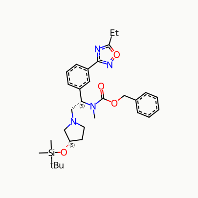 CCc1nc(-c2cccc([C@@H](CN3CC[C@H](O[Si](C)(C)C(C)(C)C)C3)N(C)C(=O)OCc3ccccc3)c2)no1